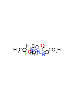 Cc1ccc(COc2cccc(N3C(C)CCC3CN(C)Cc3nc4ccc(C(=O)O)cc4n3CC3CCO3)n2)c(F)c1